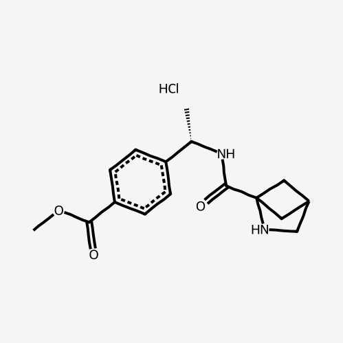 COC(=O)c1ccc([C@H](C)NC(=O)C23CC(CN2)C3)cc1.Cl